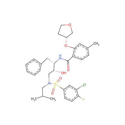 Cc1ccc(C(=O)N[C@@H](Cc2ccccc2)[C@H](O)CN(CC(C)C)S(=O)(=O)c2ccc(F)c(Cl)c2)c(O[C@@H]2CCOC2)c1